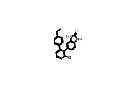 CCc1ccc(-c2cccc(Cl)c2-c2ccc3[nH]c(=O)[nH]c3c2)cc1